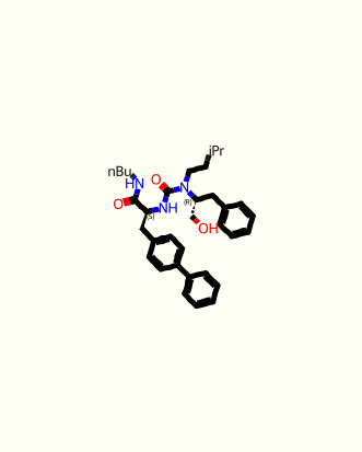 CCCCNC(=O)[C@H](Cc1ccc(-c2ccccc2)cc1)NC(=O)N(CCC(C)C)[C@@H](CO)Cc1ccccc1